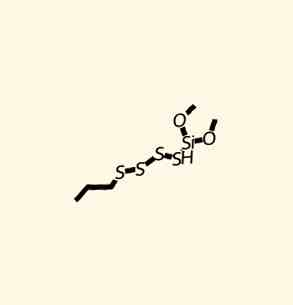 CCCSSSS[SiH](OC)OC